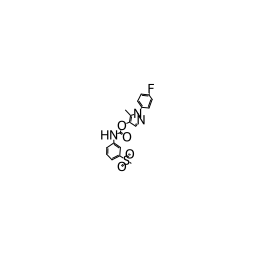 Cc1c(OC(=O)Nc2cccc(S(C)(=O)=O)c2)cnn1-c1ccc(F)cc1